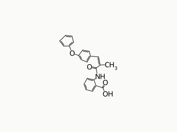 CC(=Cc1ccc(Oc2ccccc2)cc1)C(=O)Nc1ccccc1C(=O)O